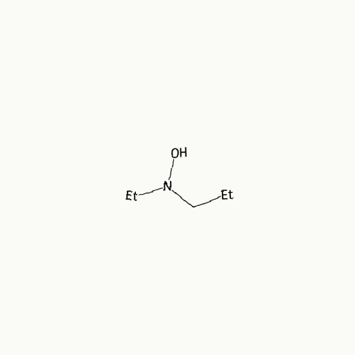 CCCN(O)CC